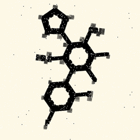 Cc1c(C)c(-c2ccc(F)cc2Cl)c(C(=O)O)c(-c2nccs2)c1C(=O)O